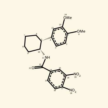 COc1ccc([C@H]2CCCC[C@H]2NC(=O)c2ccc([N+](=O)[O-])c([N+](=O)[O-])c2)cc1OC